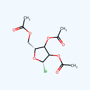 CC(=O)OC[C@H]1O[C@@H](Br)C(OC(C)=O)C1OC(C)=O